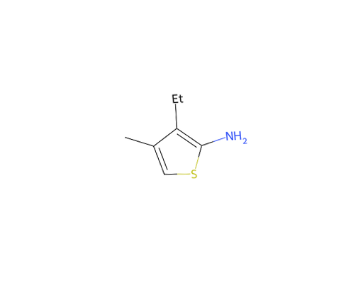 CCc1c(C)csc1N